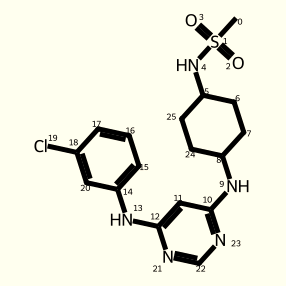 CS(=O)(=O)NC1CCC(Nc2cc(Nc3cccc(Cl)c3)ncn2)CC1